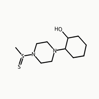 CS(=S)N1CCN(C2CCCCC2O)CC1